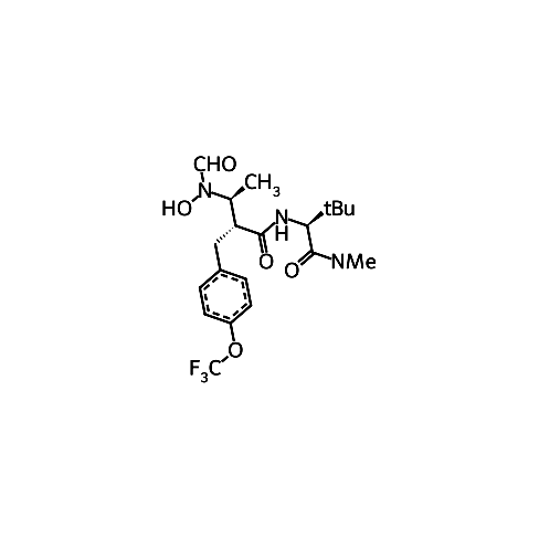 CNC(=O)[C@@H](NC(=O)[C@H](Cc1ccc(OC(F)(F)F)cc1)[C@H](C)N(O)C=O)C(C)(C)C